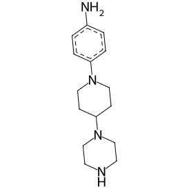 Nc1ccc(N2CCC(N3CCNCC3)CC2)cc1